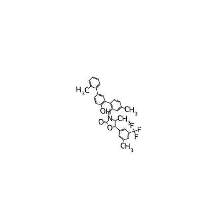 Cc1cc([C@H]2OC(=O)N(Cc3cc(C)ccc3-c3cc(-c4ccccc4C)ccc3O)[C@H]2C)cc(C(F)(F)F)c1